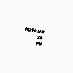 [Ag].[Fe].[Mn].[Pb].[Zn]